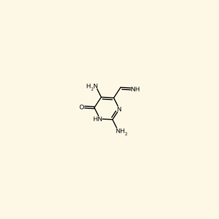 N=Cc1nc(N)[nH]c(=O)c1N